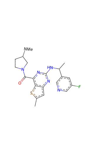 CNC1CCN(C(=O)c2nc(NC(C)c3cncc(F)c3)nc3cc(C)sc23)C1